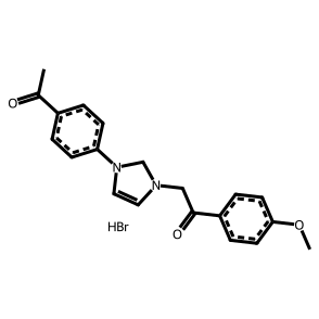 Br.COc1ccc(C(=O)CN2C=CN(c3ccc(C(C)=O)cc3)C2)cc1